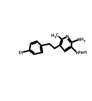 CCCCCc1cc(CCc2ccc(CC)cc2)c(C)nc1N